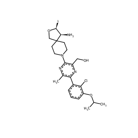 Cc1nc(N2CCC3(CC2)CO[C@@H](I)[C@H]3N)c(CO)nc1-c1cccc(OC(C)C)c1Cl